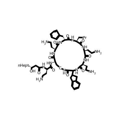 CCCCCCC[C@@H](O)CC(=O)N[C@H](CCN)C(=O)N[C@H]1CCNC(=O)C(C2Cc3ccccc3C2)NC(=O)[C@H](CCN)NC(=O)[C@H](CCN)NC(=O)[C@H](CC(C)C)NC(=O)[C@@H](Cc2ccccc2)NC(=O)[C@H](CCN)NC1=O